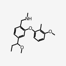 CCC(OC)c1ccc(CNC)c(Oc2cccc(OC)c2C)c1